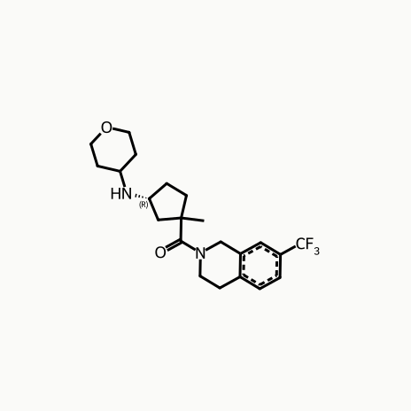 CC1(C(=O)N2CCc3ccc(C(F)(F)F)cc3C2)CC[C@@H](NC2CCOCC2)C1